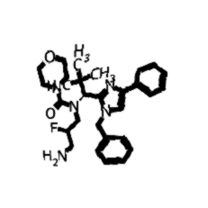 CC(C)(C)[C@H](c1nc(-c2ccccc2)cn1Cc1ccccc1)N(CC(F)CN)C(=O)N1CCOCC1